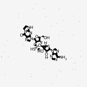 Nc1ncnc2c1ncn2[C@@H]1S[C@@H]2C(OP(=O)(S)OC3[C@H](n4cnc5c(=O)n6cc[nH]c6nc54)O[C@H](CO)[C@H]3F)[C@]2(O)[C@H]1O